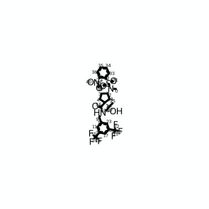 CN([C@@H]1CC[C@@](C(=O)NCc2cc(C(F)(F)F)cc(C(F)(F)F)c2)(C(C)(C)O)C1)S(=O)(=O)c1ccccc1[N+](=O)[O-]